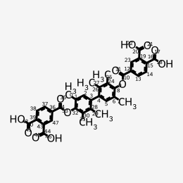 Cc1cc(-c2cc(C)c(OC(=O)c3ccc(C(=O)O)c(C(=O)O)c3)c(C)c2C)c(C)c(C)c1OC(=O)c1ccc(C(=O)O)c(C(=O)O)c1